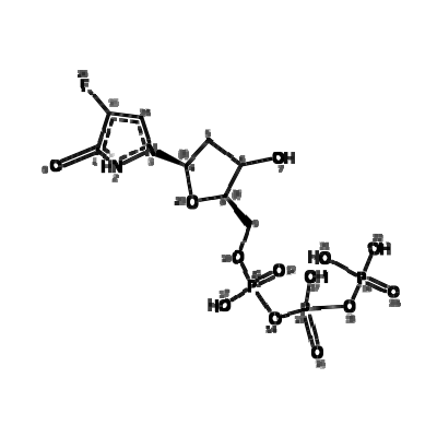 O=c1[nH]n([C@H]2CC(O)[C@@H](COP(=O)(O)OP(=O)(O)OP(=O)(O)O)O2)cc1F